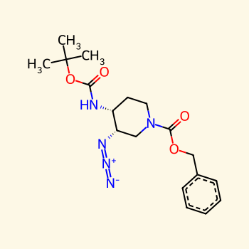 CC(C)(C)OC(=O)N[C@@H]1CCN(C(=O)OCc2ccccc2)C[C@@H]1N=[N+]=[N-]